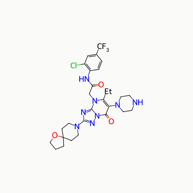 CCc1c(N2CCNCC2)c(=O)n2nc(N3CCC4(CCCO4)CC3)nc2n1CC(=O)Nc1ccc(C(F)(F)F)cc1Cl